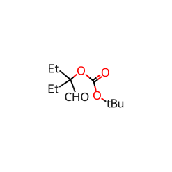 CCC(C=O)(CC)OC(=O)OC(C)(C)C